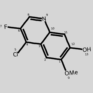 COc1cc2c(Cl)c(F)cnc2cc1O